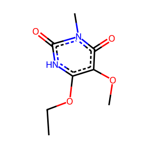 CCOc1[nH]c(=O)n(C)c(=O)c1OC